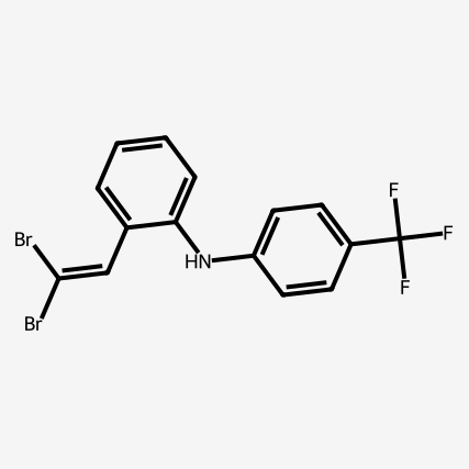 FC(F)(F)c1ccc(Nc2ccccc2C=C(Br)Br)cc1